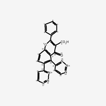 O=C(O)c1c(-c2ccccc2)oc2ccc(-c3ccnnn3)c(-c3ccnnn3)c2c1=O